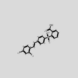 O=C(O)c1ccccc1S(=O)(=O)c1ccc(/C=C/c2ccc(F)cc2F)cc1